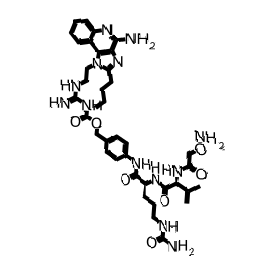 CCCCc1nc2c(N)nc3ccccc3c2n1CCNC(=N)NC(=O)OCc1ccc(NC(=O)[C@H](CCCNC(N)=O)NC(=O)[C@@H](NC(=O)CON)C(C)C)cc1